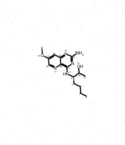 CCCC[C@@H](Nc1nc(N)nc2cc(OC)cnc12)C(C)O